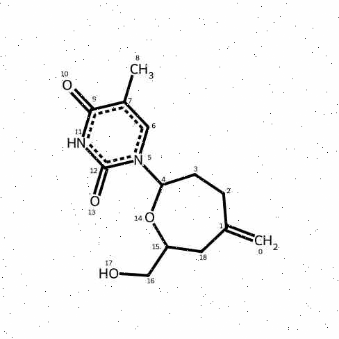 C=C1CCC(n2cc(C)c(=O)[nH]c2=O)OC(CO)C1